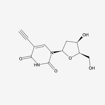 C#Cc1cn([C@H]2C[C@@H](O)[C@@H](CO)O2)c(=O)[nH]c1=O